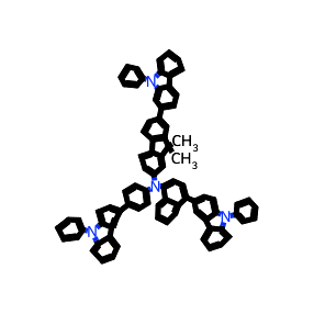 CC1(C)c2cc(-c3ccc4c5ccccc5n(-c5ccccc5)c4c3)ccc2-c2ccc(N(c3ccc(-c4ccc5c(c4)c4ccccc4n5-c4ccccc4)cc3)c3ccc(-c4ccc5c(c4)c4ccccc4n5-c4ccccc4)c4ccccc34)cc21